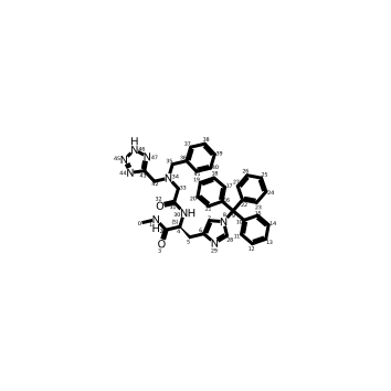 CNC(=O)[C@H](Cc1cn(C(c2ccccc2)(c2ccccc2)c2ccccc2)cn1)NC(=O)CN(Cc1ccccc1)Cc1nn[nH]n1